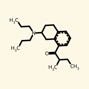 CCCN(CCC)C1CCc2cccc(C(=O)C(C)CC)c2C1